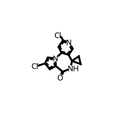 O=C1NC2(CC2)c2cnc(Cl)cc2-n2cc(Cl)cc21